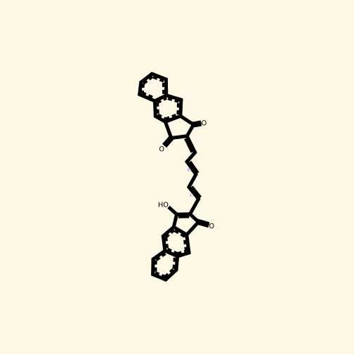 O=C1C(=C/C=C/C=C/C2=C(O)c3cc4ccccc4cc3C2=O)C(=O)c2cc3ccccc3cc21